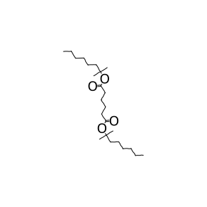 CCCCCCC(C)(C)OC(=O)CCCCC(=O)OC(C)(C)CCCCCC